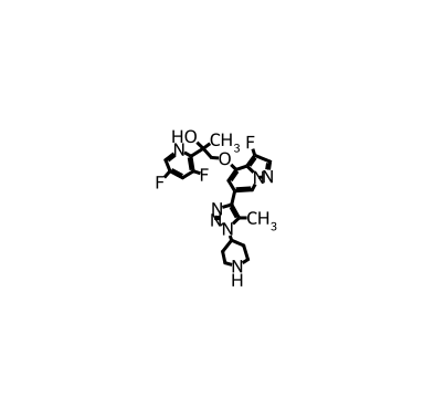 Cc1c(-c2cc(OCC(C)(O)c3ncc(F)cc3F)c3c(F)cnn3c2)nnn1C1CCNCC1